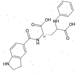 O=C(N[C@@H](CC(Nc1ccccc1)C(=O)O)C(=O)O)c1ccc2c(c1)CCN2